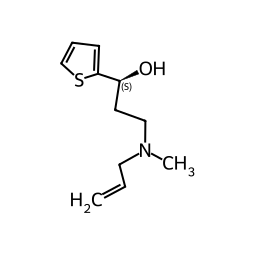 C=CCN(C)CC[C@H](O)c1cccs1